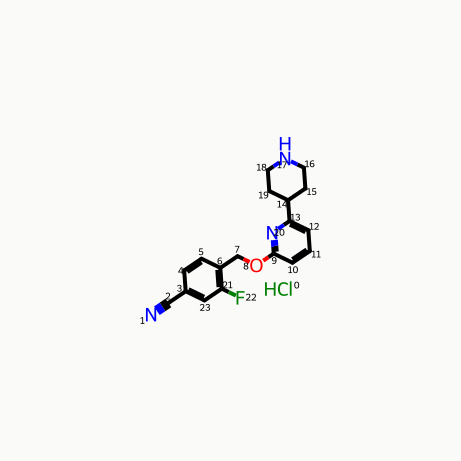 Cl.N#Cc1ccc(COc2cccc(C3CCNCC3)n2)c(F)c1